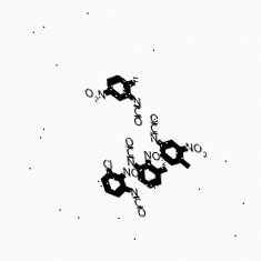 Cc1ccc(N=C=O)cc1[N+](=O)[O-].Cc1cccc(N=C=O)c1[N+](=O)[O-].O=C=Nc1cc([N+](=O)[O-])ccc1F.O=C=Nc1cccc(Cl)c1[N+](=O)[O-]